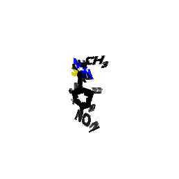 Cc1nsc(-c2ccc([N+](=O)[O-])cc2)n1